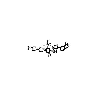 C=CC(=O)Nc1cc(Nc2cc(-c3ccc4cnn(C)c4c3)ncn2)c(OC)cc1N1CCC(N2CCN(C(C)C)CC2)CC1